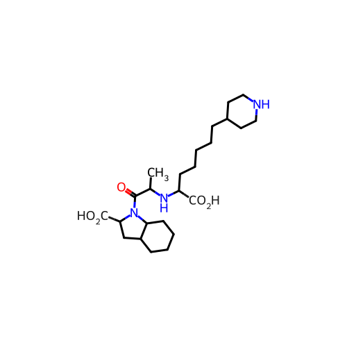 CC(NC(CCCCCC1CCNCC1)C(=O)O)C(=O)N1C(C(=O)O)CC2CCCCC21